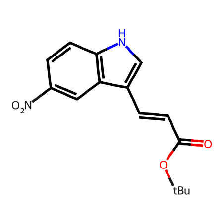 CC(C)(C)OC(=O)C=Cc1c[nH]c2ccc([N+](=O)[O-])cc12